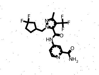 Cc1nn(CC2CCC(F)(F)C2)c(C(=O)Nc2ccnc(C(N)=O)c2)c1C(F)(F)F